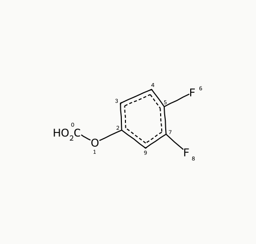 O=C(O)Oc1ccc(F)c(F)c1